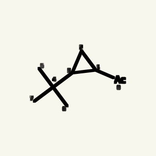 CC(=O)C1CC1C(C)(C)C